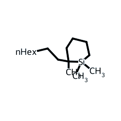 CCCCCCCCC1(C)CCCC[Si]1(C)C